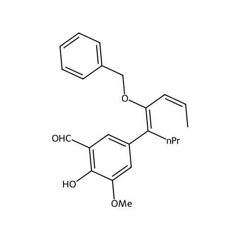 C/C=C\C(OCc1ccccc1)=C(/CCC)c1cc(C=O)c(O)c(OC)c1